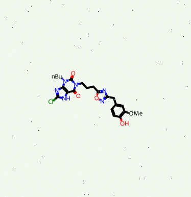 CCCCn1c(=O)n(CCCc2nc(Cc3ccc(O)c(OC)c3)no2)c(=O)c2[nH]c(Cl)nc21